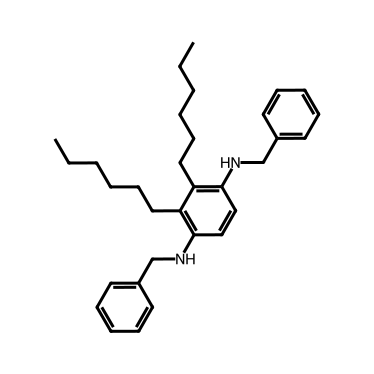 CCCCCCc1c(NCc2ccccc2)ccc(NCc2ccccc2)c1CCCCCC